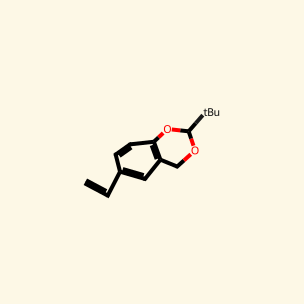 C=Cc1ccc2c(c1)COC(C(C)(C)C)O2